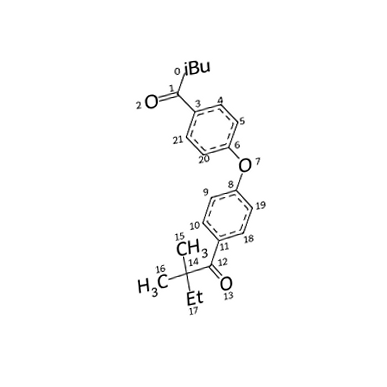 CCC(C)C(=O)c1ccc(Oc2ccc(C(=O)C(C)(C)CC)cc2)cc1